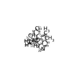 C=C[C@H]1C[N+]2(Cc3ccccc3)CC[C@H]1C[C@@H]2[C@@H](OCC=C(C)C)c1ccnc2ccccc12.[Cl-]